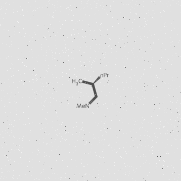 CCC[C@H](C)CNC